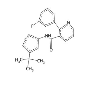 CC(C)(C)c1cccc(NC(=O)c2cccnc2-c2cccc(F)c2)c1